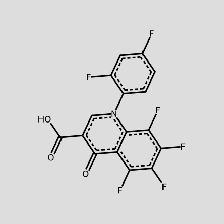 O=C(O)c1cn(-c2ccc(F)cc2F)c2c(F)c(F)c(F)c(F)c2c1=O